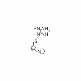 N=C(N)C(=N)NCCSCc1csc(CN2CCCCC2)c1